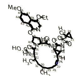 CCOc1cnc(O[C@@H]2C[C@H]3C(=O)N[C@]4(C(=O)NS(=O)(=O)C5(C)CC5)C[C@H]4/C=C\CC[C@H](C)C[C@@H](C)[C@H](NC(=O)O)C(=O)N3C2)c2ccc(OC)cc12